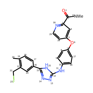 CNC(=O)c1cc(Oc2ccc(Nc3nnc(-c4ccc(C)c(CF)c4)[nH]3)cc2)ccn1